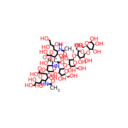 CC(=O)N[C@H]1[C@H](O[C@H]2[C@@H](O)[C@@H](CO)O[C@H](O[C@@H]3[C@H](O)[C@@H](O)[C@H](O[C@H]4[C@H](O)[C@@H](O)[C@H](O)O[C@@H]4CO)O[C@@H]3CO)[C@@H]2O)O[C@H](CO)[C@H](O)[C@@H]1O[C@@H]1O[C@H](CO[C@]2(C(=O)O)C[C@H](O)[C@@H](NC(C)=O)[C@H]([C@H](O)[C@H](O)CO)O2)[C@H](O)[C@H](O[C@]2(C(=O)O)C[C@H](O)[C@@H](NC(C)=O)[C@H]([C@H](O)[C@H](O)CO)O2)[C@H]1O